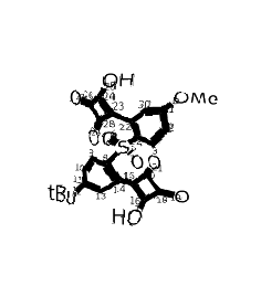 COc1ccc(S(=O)(=O)c2ccc(C(C)(C)C)cc2-c2c(O)c(=O)c2=O)c(-c2c(O)c(=O)c2=O)c1